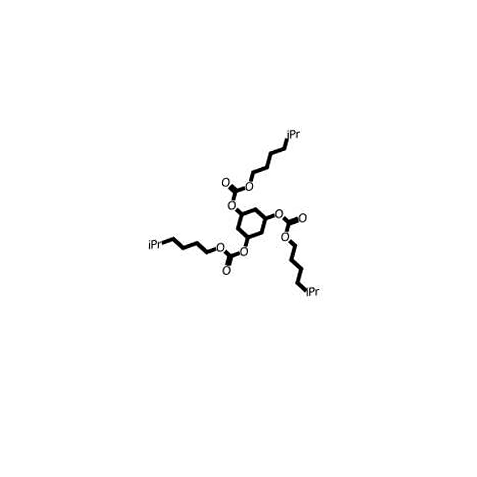 CC(C)CCCCOC(=O)OC1CC(OC(=O)OCCCCC(C)C)CC(OC(=O)OCCCCC(C)C)C1